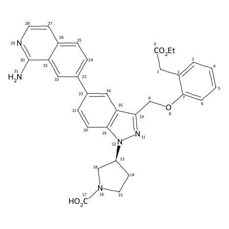 CCOC(=O)Cc1ccccc1OCc1nn([C@H]2CCN(C(=O)O)C2)c2ccc(-c3ccc4ccnc(N)c4c3)cc12